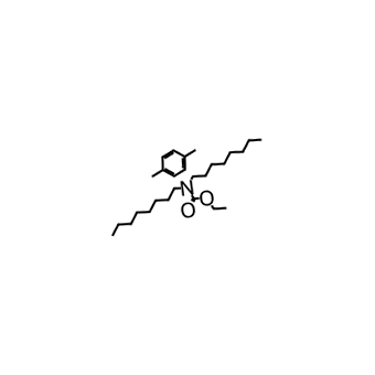 CCCCCCCCN(CCCCCCCC)C(=O)OCC.Cc1ccc(C)cc1